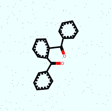 O=C(c1ccccc1)c1c[c]ccc1C(=O)c1ccccc1